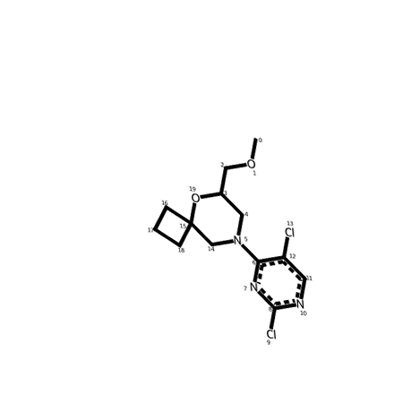 COCC1CN(c2nc(Cl)ncc2Cl)CC2(CCC2)O1